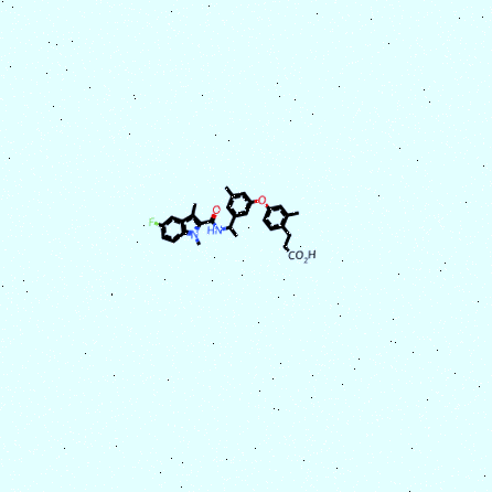 Cc1cc(Oc2ccc(CCC(=O)O)c(C)c2)cc(C(C)NC(=O)c2c(C)c3cc(F)ccc3n2C)c1